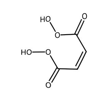 O=C(/C=C\C(=O)OO)OO